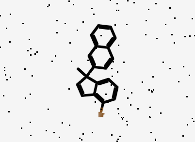 CC1(c2ccc3ccccc3c2)C=Cc2c(Br)cccc21